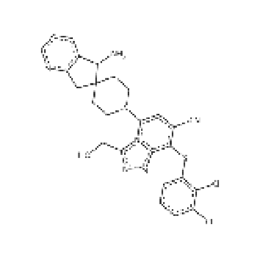 N#Cc1cc(N2CCC3(CC2)Cc2ncccc2C3N)n2c(CO)nnc2c1Sc1cccc(Cl)c1Cl